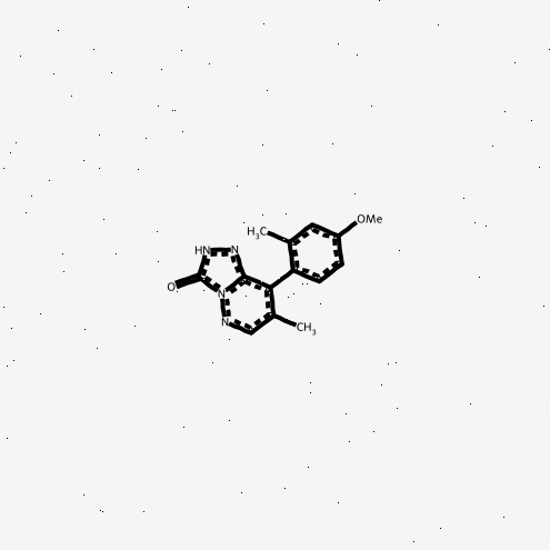 COc1ccc(-c2c(C)cnn3c(=O)[nH]nc23)c(C)c1